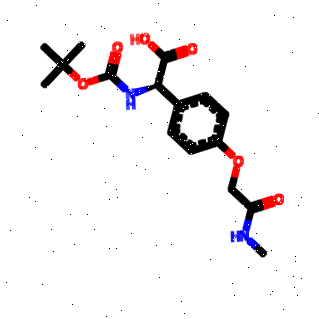 CNC(=O)COc1ccc([C@@H](NC(=O)OC(C)(C)C)C(=O)O)cc1